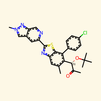 CC(=O)[C@@H](OC(C)(C)C)c1c(C)cc2nc(-c3cc4cn(C)nc4cn3)sc2c1-c1ccc(Cl)cc1